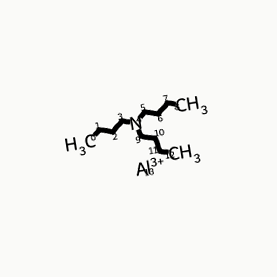 CCCCN(CCCC)CCCC.[Al+3]